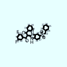 O=C(C(C(=O)c1cc(F)cc(F)c1)=C1Nc2ccc(S(=O)(=O)Cc3ccccc3)cc2N1)c1ccccc1